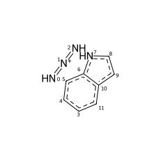 N=[N+]=N.c1ccc2[nH]ccc2c1